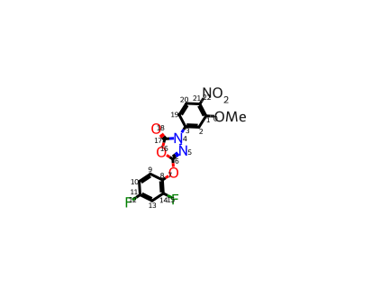 COc1cc(-n2nc(Oc3ccc(F)cc3F)oc2=O)ccc1[N+](=O)[O-]